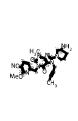 CC#CCn1c(N2CCCC(N)C2)nc2c1c(=O)n(Cc1ccc(C#N)c(OC)n1)c(=O)n2C